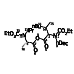 CCCCCCCCCCN(C(=O)OCC)C(C(=O)OC(=O)[C@H](C)N(C(=O)OCC)C(C)C)C(C)CCCC